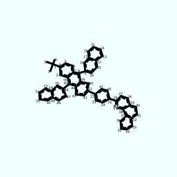 CC(C)(C)c1ccc2c(-c3ccc4ccccc4c3)c3cc(-c4ccc(-c5ccc6ccc7ccccc7c6n5)cc4)ccc3c(-c3ccc4ccccc4c3)c2c1